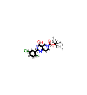 CC(C)(C)OC(=O)N1CCc2nc(-c3cc(Cl)ccc3F)nc(O)c2C1